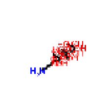 NCCCCCO[C@@H]1OC(CO)[C@@H](O[C@@H]2OC(CO)[C@H](O[C@H]3OC(CO)[C@H](O)[C@H](O)C3O)C(O)[C@@H]2O)C(O)[C@@H]1O